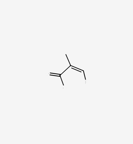 CC(=CF)C([O])=O